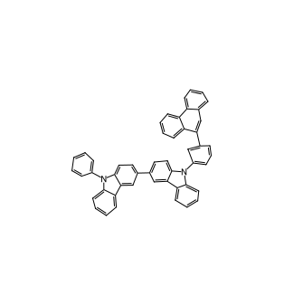 c1ccc(-n2c3ccccc3c3cc(-c4ccc5c(c4)c4ccccc4n5-c4cccc(-c5cc6ccccc6c6ccccc56)c4)ccc32)cc1